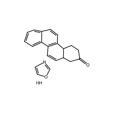 O=C1CCC2c3ccc4ccccc4c3C=CC2C1.[HH].c1cocn1